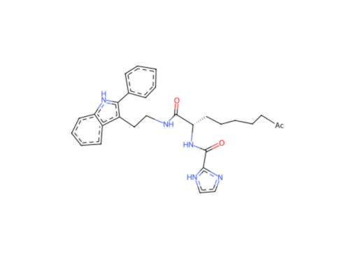 CC(=O)CCCCC[C@H](NC(=O)c1ncc[nH]1)C(=O)NCCc1c(-c2ccccc2)[nH]c2ccccc12